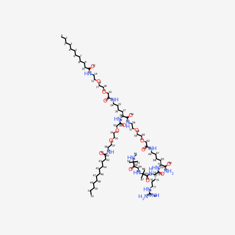 CCCCCCCCCCCC(=O)NCCOCCOCC(=O)NCCCC[C@H](NC(=O)COCCOCCNC(=O)CCCCCCCCCCC)C(=O)NCCOCCOCC(=O)NCCCC[C@H](NC(=O)[C@H](CCCNC(=N)N)NC(=O)C(C)(C)NCC(=O)C(C)(C)NC)C(N)=O